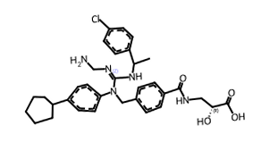 CC(N/C(=N/CN)N(Cc1ccc(C(=O)NC[C@@H](O)C(=O)O)cc1)c1ccc(C2CCCCC2)cc1)c1ccc(Cl)cc1